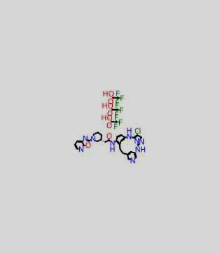 O=C(C[C@H]1CCCN(c2nc3cccnc3o2)C1)Nc1ccc2cc1CCc1cncc(c1)Nc1ncc(Cl)c(n1)N2.O=C(O)C(F)(F)F.O=C(O)C(F)(F)F.O=C(O)C(F)(F)F